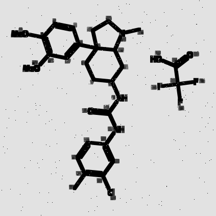 COc1ccc(C23CCC(NC(=O)Nc4ccc(C)c(Cl)c4)CC2N(C)CC3)cc1OC.O=C(O)C(F)(F)F